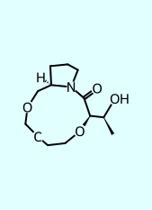 C[C@H](O)[C@H]1OCCCCOC[C@H]2CCCN2C1=O